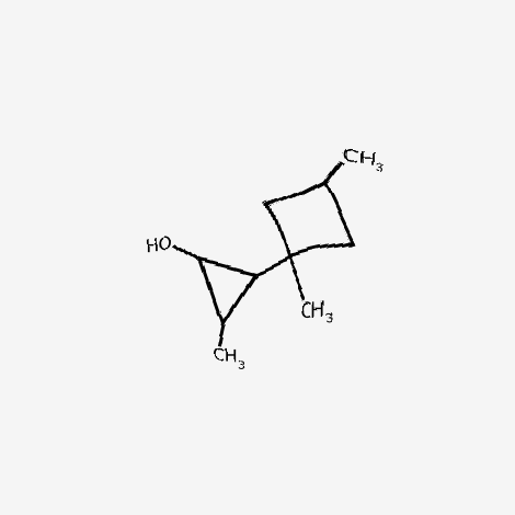 CC1CC(C)(C2C(C)C2O)C1